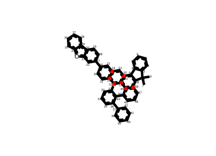 CC1(C)c2ccccc2-c2cc(N(c3ccc(-c4ccc5c(c4)oc4ccccc45)cc3)c3cccc(-c4ccccc4)c3-c3ccccc3-c3ccccc3)ccc21